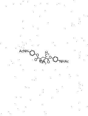 CC(=O)Nc1ccc(OC(=O)C(C)CC(C)(C)C(=O)Oc2ccc(NC(C)=O)cc2)cc1